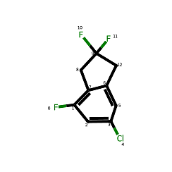 Fc1cc(Cl)cc2c1CC(F)(F)C2